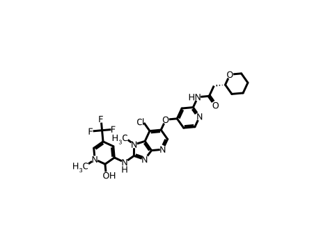 CN1C=C(C(F)(F)F)C=C(Nc2nc3ncc(Oc4ccnc(NC(=O)C[C@H]5CCCCO5)c4)c(Cl)c3n2C)C1O